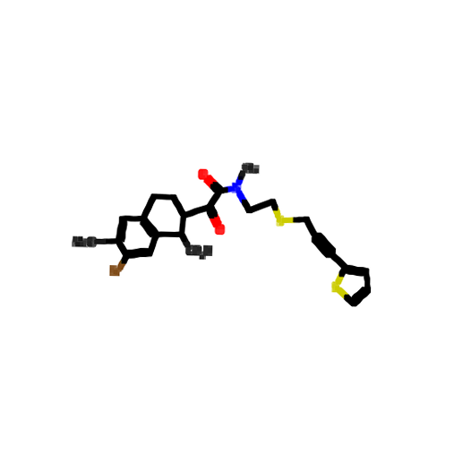 COc1cc2c(cc1Br)C(C(=O)O)C(C(=O)C(=O)N(CCSCC#Cc1cccs1)C(C)(C)C)CC2